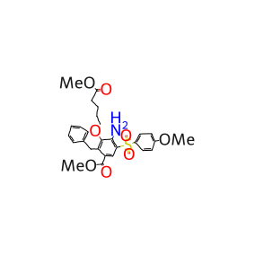 COC(=O)CCCCOc1c(N)c(S(=O)(=O)c2ccc(OC)cc2)cc(C(=O)OC)c1Cc1ccccc1